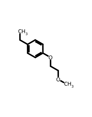 CCc1ccc(OCCOC)cc1